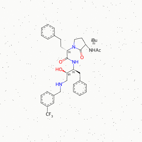 CC[C@H](C)C1(NC(C)=O)CCN([C@@H](CCc2ccccc2)C(=O)N[C@@H](Cc2ccccc2)[C@H](O)CNCc2cccc(C(F)(F)F)c2)C1=O